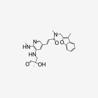 CNc1ncc(/C=C/C(=O)N(C)Cc2oc3ccccc3c2C)cc1NC[C@@](C)(O)C=O